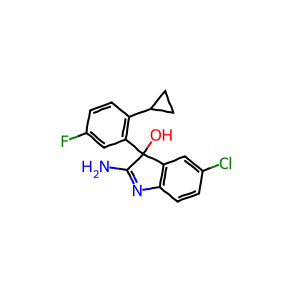 NC1=Nc2ccc(Cl)cc2C1(O)c1cc(F)ccc1C1CC1